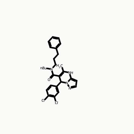 CCCCN(CCCc1ccccc1)C(=O)C1=C(C)Nc2ccnn2C1c1ccc(Cl)c(Cl)c1